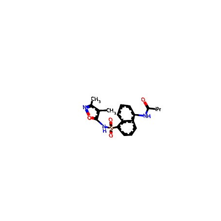 Cc1noc(NS(=O)(=O)c2cccc3c(NC(=O)C(C)C)cccc23)c1C